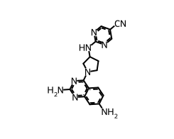 N#Cc1cnc(NC2CCN(c3nc(N)nc4cc(N)ccc34)C2)nc1